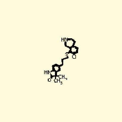 CC1(C)C(=O)Nc2ccc(CCCSc3c(Cl)ccc4c3CCNCC4)cc21